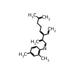 C=C/C(=C\CCC(=C)C)C(=C)/C=N\c1ccc(C)cc1C